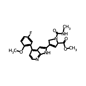 CNC(=O)N1CC(c2cc3c(-c4cc(F)ccc4OC)ccnc3[nH]2)=CC1C(=O)OC